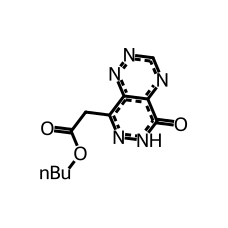 CCCCOC(=O)Cc1n[nH]c(=O)c2ncnnc12